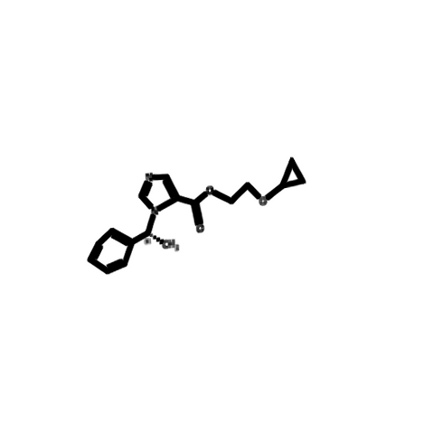 C[C@H](c1ccccc1)n1cncc1C(=O)OCCOC1CC1